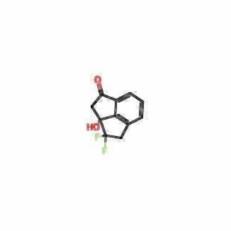 O=C1CC2(O)c3c(cccc31)CC2(F)F